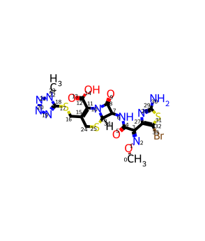 CO/N=C(\C(=O)NC1C(=O)N2C(C(=O)O)=C(CSc3nnnn3C)CS[C@H]12)c1nc(N)sc1Br